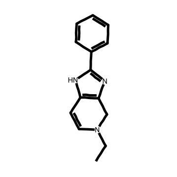 CCN1C=Cc2[nH]c(-c3ccccc3)nc2C1